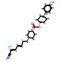 N#CC(F)=CC=CCC[C@H]1CC[C@H](C(=O)O[C@H]2CC[C@H](c3ccc(F)cc3)CC2)CC1